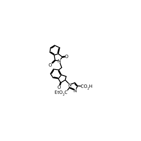 CCOC(=O)c1nc(C(=O)O)cn1C1Cc2c(CN3C(=O)c4ccccc4C3=O)cccc2C1=O